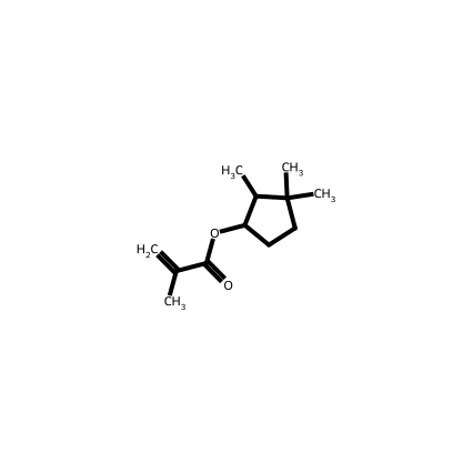 C=C(C)C(=O)OC1CCC(C)(C)C1C